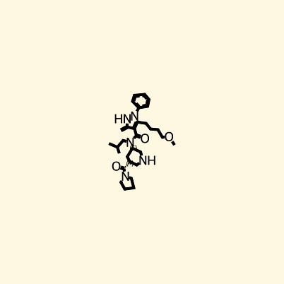 C=C1NN(c2ccccc2)C(CCCCOC)=C1C(=O)N(CC(C)C)[C@@H]1CNC[C@H](C(=O)N2CCCC2)C1